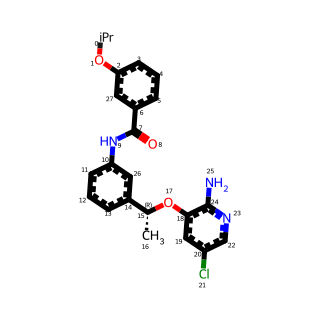 CC(C)Oc1cccc(C(=O)Nc2cccc([C@@H](C)Oc3cc(Cl)cnc3N)c2)c1